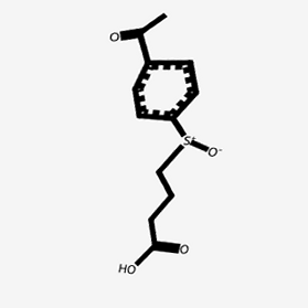 CC(=O)c1ccc([S+]([O-])CCCC(=O)O)cc1